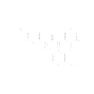 CC(C)(C)c1ccccc1Oc1ncccc1NC(=O)Nc1ccc(Cl)c(C(F)(F)F)c1